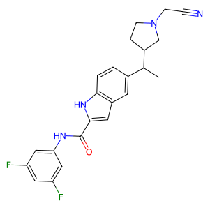 CC(c1ccc2[nH]c(C(=O)Nc3cc(F)cc(F)c3)cc2c1)C1CCN(CC#N)C1